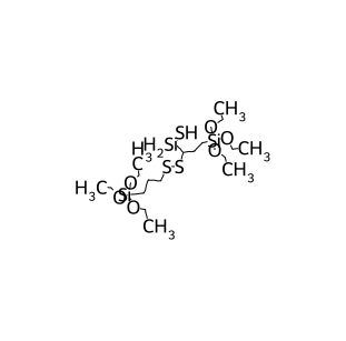 CCO[Si](CCCSSC(CC[Si](OCC)(OCC)OCC)[SiH2]S)(OCC)OCC